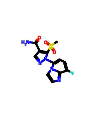 CS(=O)(=O)c1c(C(N)=O)cnn1-c1ccc(F)c2nccn12